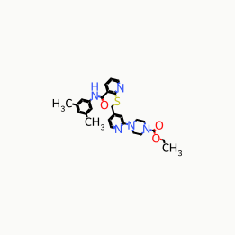 CCOC(=O)N1CCN(c2cc(CSc3ncccc3C(=O)Nc3cc(C)cc(C)c3)ccn2)CC1